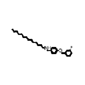 CCCCCCCCCCCCCCNCc1ccc(OCc2cccc(F)c2)cc1